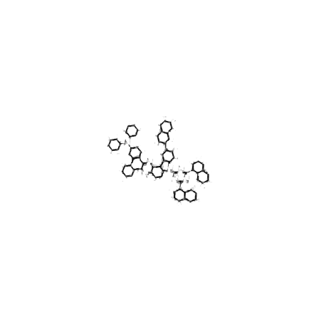 c1ccc(N(c2ccccc2)c2ccc3c(c2)c2ccccc2c2nc4ccc5c(c6cc(-c7ccc8ccccc8c7)ccc6n5-c5nc(-c6cccc7ccccc67)nc(-c6cccc7ccccc67)n5)c4nc32)cc1